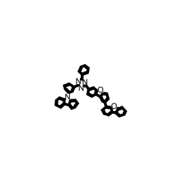 c1ccc(-c2nc(-c3cccc(-n4c5ccccc5c5ccccc54)c3)nc(-c3ccc4c(c3)oc3ccc(-c5cccc6c5oc5ccccc56)cc34)n2)cc1